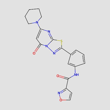 O=C(Nc1cccc(-c2nn3c(=O)cc(N4CCCCC4)nc3s2)c1)c1ccon1